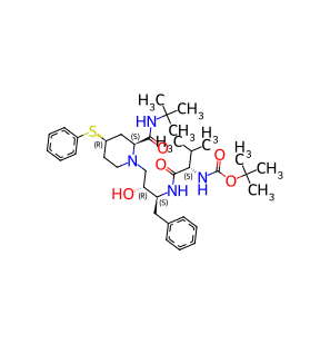 CC(C)[C@H](NC(=O)OC(C)(C)C)C(=O)N[C@@H](Cc1ccccc1)[C@H](O)CN1CC[C@@H](Sc2ccccc2)C[C@H]1C(=O)NC(C)(C)C